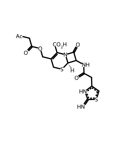 CC(=O)CC(=O)OCC1=C(C(=O)O)N2C(=O)C(NC(=O)Cc3csc(=N)[nH]3)[C@H]2SC1